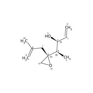 C=C[C@H](O)[C@@H](C)[C@@]1(CC(=C)C)CO1